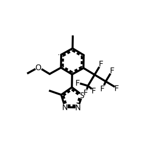 COCc1[c]c(C)cc(C(F)(C(F)(F)F)C(F)(F)F)c1-c1snnc1C